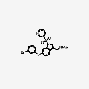 CNCc1cn(S(=O)(=O)c2cccnc2)c2cc(Nc3cccc(Br)c3)ccc12